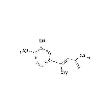 N#CC(=CC(N)=S)c1ccc(O)c(O)c1